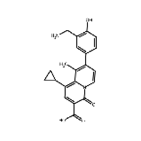 Cc1c(-c2ccc(O)c(CN)c2)ccn2c(=O)c(C(=O)O)cc(C3CC3)c12